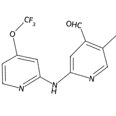 Cc1cnc(Nc2cc(OC(F)(F)F)ccn2)cc1C=O